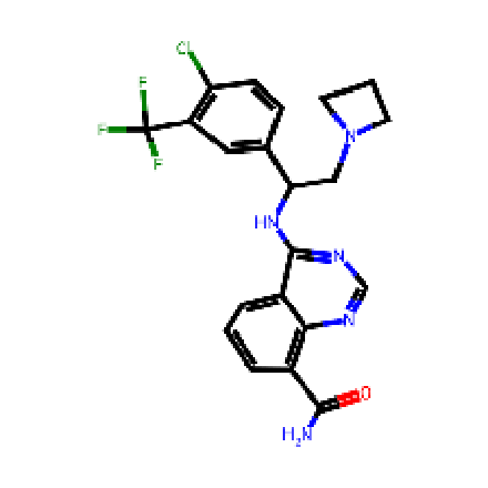 NC(=O)c1cccc2c(NC(CN3CCC3)c3ccc(Cl)c(C(F)(F)F)c3)ncnc12